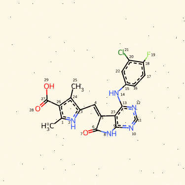 Cc1[nH]c(C=C2C(=O)Nc3ncnc(Nc4ccc(F)c(Cl)c4)c32)c(C)c1C(=O)O